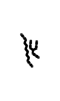 O=C=NC(N=C=O)N=C=O.O=C=NCCCCCCN=C=O